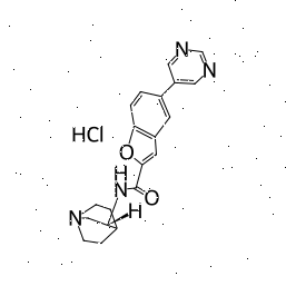 Cl.O=C(N[C@H]1CN2CCC1CC2)c1cc2cc(-c3cncnc3)ccc2o1